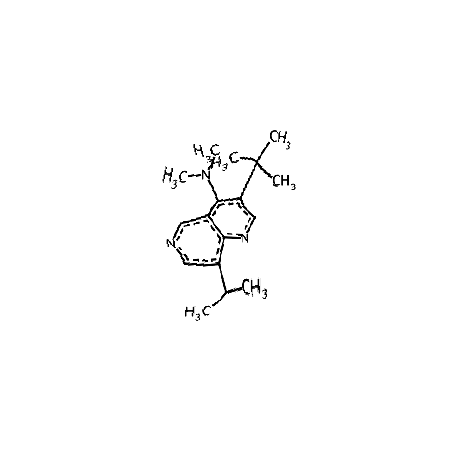 CC(C)c1cncc2c(N(C)C)c(C(C)(C)C)cnc12